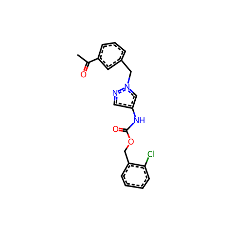 CC(=O)c1cccc(Cn2cc(NC(=O)OCc3ccccc3Cl)cn2)c1